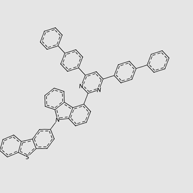 c1ccc(-c2ccc(-c3cc(-c4ccc(-c5ccccc5)cc4)nc(-c4cccc5c4c4ccccc4n5-c4ccc5sc6ccccc6c5c4)n3)cc2)cc1